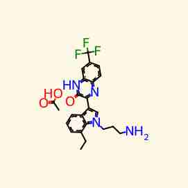 CC(=O)O.CCc1cccc2c(-c3nc4ccc(C(F)(F)F)cc4[nH]c3=O)cn(CCCN)c12